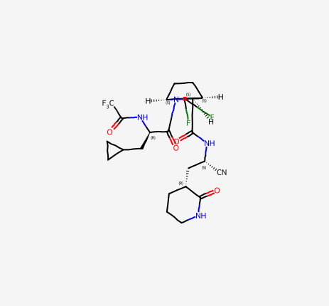 N#C[C@H](C[C@H]1CCCNC1=O)NC(=O)[C@@H]1[C@@H]2CC[C@@H](CC2(F)F)N1C(=O)[C@@H](CC1CC1)NC(=O)C(F)(F)F